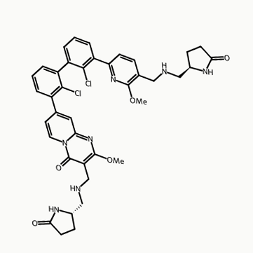 COc1nc(-c2cccc(-c3cccc(-c4ccn5c(=O)c(CNC[C@@H]6CCC(=O)N6)c(OC)nc5c4)c3Cl)c2Cl)ccc1CNC[C@H]1CCC(=O)N1